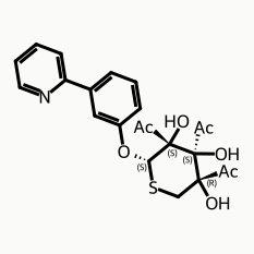 CC(=O)[C@]1(O)[C@@](O)(C(C)=O)CS[C@H](Oc2cccc(-c3ccccn3)c2)[C@@]1(O)C(C)=O